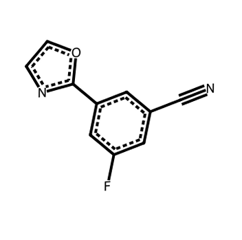 N#Cc1cc(F)cc(-c2ncco2)c1